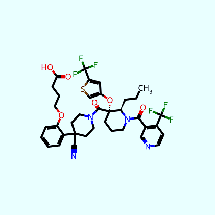 CCC[C@H]1N(C(=O)c2cnccc2C(F)(F)F)CCC[C@@]1(Oc1csc(C(F)(F)F)c1)C(=O)N1CCC(C#N)(c2ccccc2OCCCC(=O)O)CC1